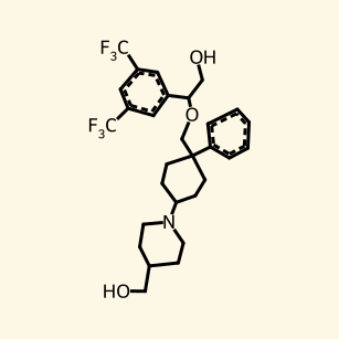 OCC1CCN(C2CCC(COC(CO)c3cc(C(F)(F)F)cc(C(F)(F)F)c3)(c3ccccc3)CC2)CC1